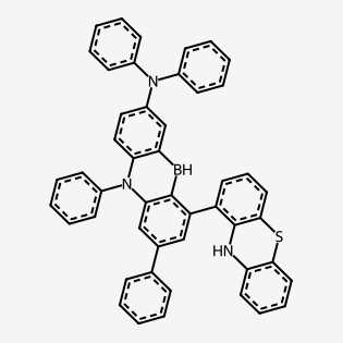 B1c2cc(N(c3ccccc3)c3ccccc3)ccc2N(c2ccccc2)c2cc(-c3ccccc3)cc(-c3cccc4c3Nc3ccccc3S4)c21